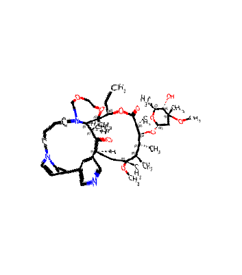 CC[C@H]1OC(=O)[C@H](C)[C@@H](O[C@H]2C[C@@](C)(OC)[C@@H](O)[C@H](C)O2)[C@H](C)[C@@H](C)[C@](C)(OC)C[C@@H]2C(=O)[C@H](C)[C@H]3N(CCCCn4ccc(c4)-c4cncc2c4)COCO[C@]13C